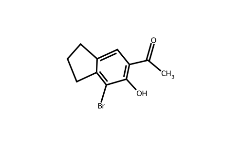 CC(=O)c1cc2c(c(Br)c1O)CCC2